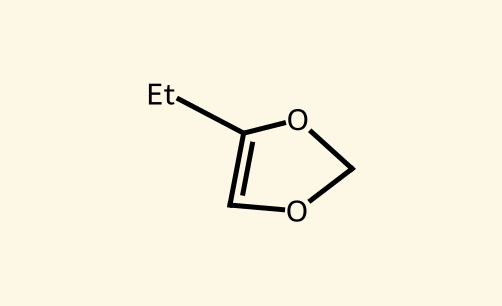 CCC1=COCO1